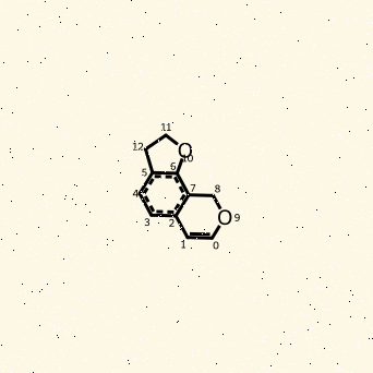 C1=Cc2ccc3c(c2CO1)OCC3